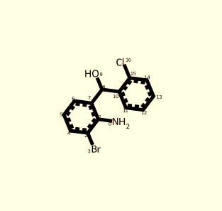 Nc1c(Br)cccc1C(O)c1ccccc1Cl